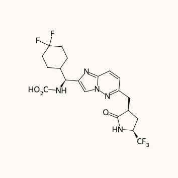 O=C(O)N[C@H](c1cn2nc(C[C@H]3C[C@@H](C(F)(F)F)NC3=O)ccc2n1)C1CCC(F)(F)CC1